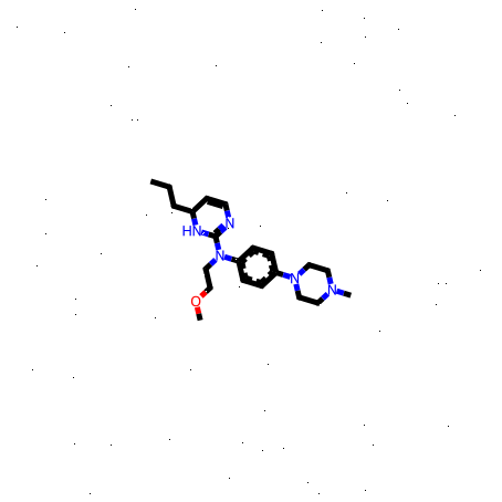 CCCC1C=CN=C(N(CCOC)c2ccc(N3CCN(C)CC3)cc2)N1